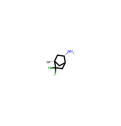 N[C@H]1C[C@H]2CC1CC2(F)F